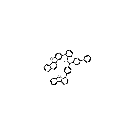 CC(c1ccccc1-c1ccc2oc3c4ccccc4ccc3c2c1)C(c1ccc(-c2ccccc2)cc1)c1ccc(-c2cccc3c2oc2ccccc23)cc1